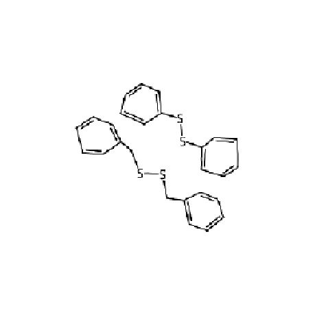 c1ccc(CSSCc2ccccc2)cc1.c1ccc(SSc2ccccc2)cc1